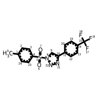 Cc1ccc(S(=O)(=O)n2cc(-c3ccc(C(F)(F)F)cc3)nn2)cc1